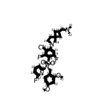 COc1ccc(CN(c2cccc(F)n2)S(=O)(=O)c2c(F)cc(N3CCC4(CC(CN(C)C)C4)C3)c(Cl)c2F)c(OC)c1